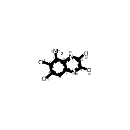 Nc1c(Cl)c(Cl)cc2nc(Cl)c(Cl)nc12